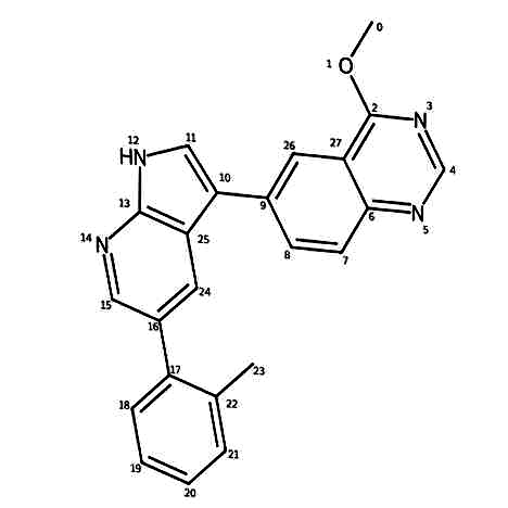 COc1ncnc2ccc(-c3c[nH]c4ncc(-c5ccccc5C)cc34)cc12